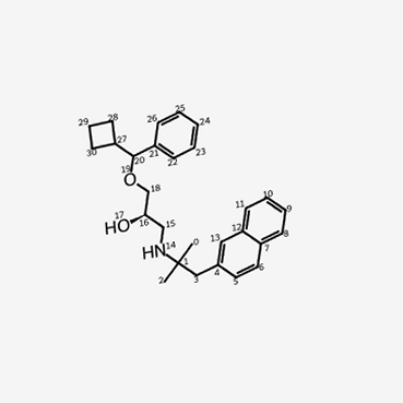 CC(C)(Cc1ccc2ccccc2c1)NC[C@@H](O)COC(c1ccccc1)C1CCC1